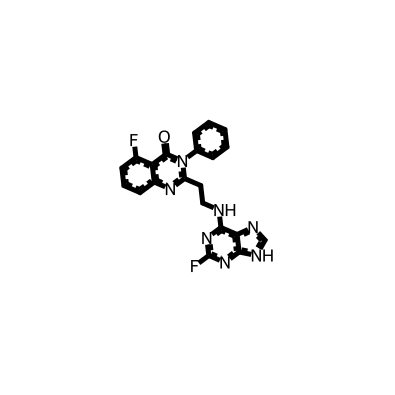 O=c1c2c(F)cccc2nc(CCNc2nc(F)nc3[nH]cnc23)n1-c1ccccc1